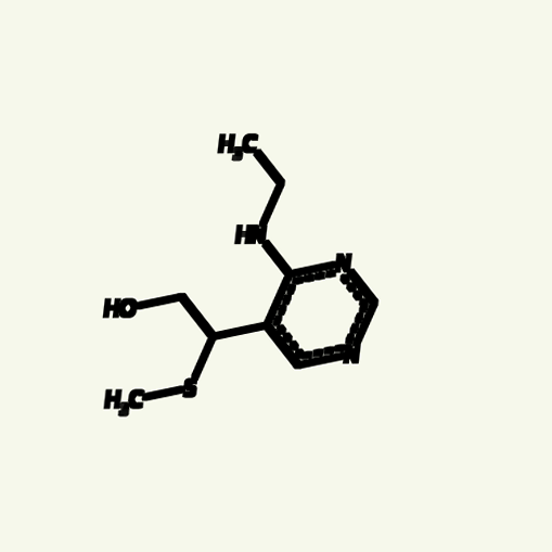 CCNc1ncncc1C(CO)SC